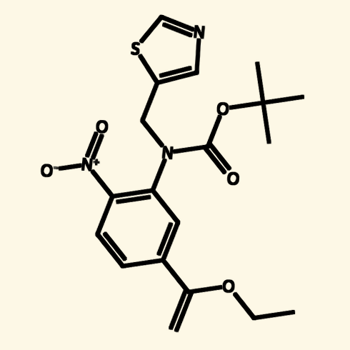 C=C(OCC)c1ccc([N+](=O)[O-])c(N(Cc2cncs2)C(=O)OC(C)(C)C)c1